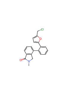 CN1Cc2c(cccc2-c2ccccc2-c2ccc(CCl)o2)C1=O